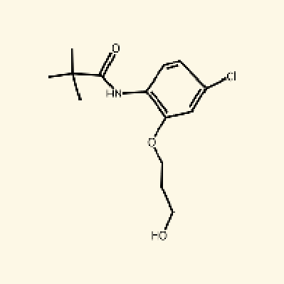 CC(C)(C)C(=O)Nc1ccc(Cl)cc1OCCCO